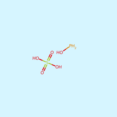 O=S(=O)(O)O.OP